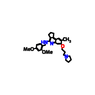 COc1ccc(CNc2nc3cc(OCCCN4CCCC4)c(C)cc3c3c2CCC3)c(OC)c1